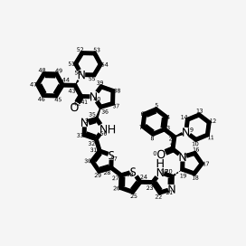 O=C([C@@H](c1ccccc1)N1CCCCC1)N1CCC[C@@H]1c1ncc(-c2ccc(-c3ccc(-c4cnc([C@@H]5CCCN5C(=O)[C@H](c5ccccc5)N5CCCCC5)[nH]4)s3)s2)[nH]1